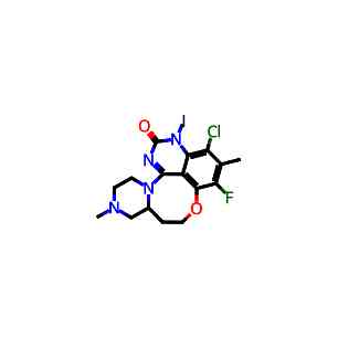 Cc1c(F)c2c3c(nc(=O)n(I)c3c1Cl)N1CCN(C)CC1CCO2